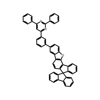 c1ccc(-c2cc(-c3cccc(-c4ccc5oc6c7c(ccc6c5c4)C4(c5ccccc5-c5ccccc54)c4ccccc4-7)c3)nc(-c3ccccc3)n2)cc1